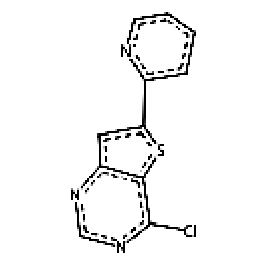 Clc1ncnc2cc(-c3ccccn3)sc12